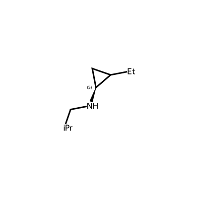 CCC1C[C@@H]1NCC(C)C